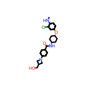 CNc1ccc(O[C@H]2CC[C@H](NC(=O)c3ccc(N4CC(CO)C4)cc3)CC2)cc1Cl